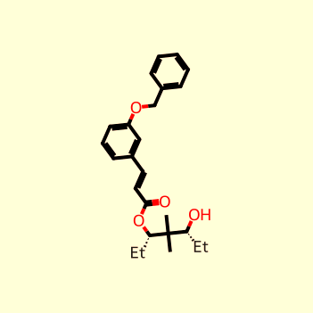 CC[C@@H](O)C(C)(C)[C@H](CC)OC(=O)C=Cc1cccc(OCc2ccccc2)c1